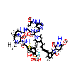 CN1CC[C@H]2CC[C@@H](C(=O)N[C@@H](CCC(N)=O)C(=O)N[C@@H](Cc3ccccn3)C(=O)N3CCC(CCC#Cc4cccc5c4CN(C4CCC(=O)NC4=O)C5=O)CC3)N2C(=O)[C@@H](NC(=O)c2cc3cc(C(F)(F)P(=O)(O)O)ccc3s2)C1